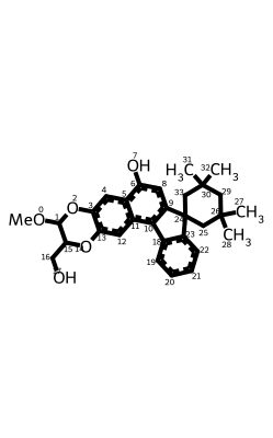 COC1Oc2cc3c(O)cc4c(c3cc2OC1CO)-c1ccccc1C41CC(C)(C)CC(C)(C)C1